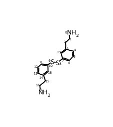 NCCc1cccc(SSc2cccc(CCN)c2)c1